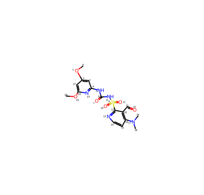 COc1cc(NC(=O)NS(=O)(=O)c2nccc(N(C)C)c2C=O)nc(OC)c1